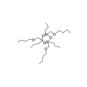 CCCCOC[Si]1(CCC)O[Si](CCC)(COCCCC)O[Si](CCC)(COCCCC)O1